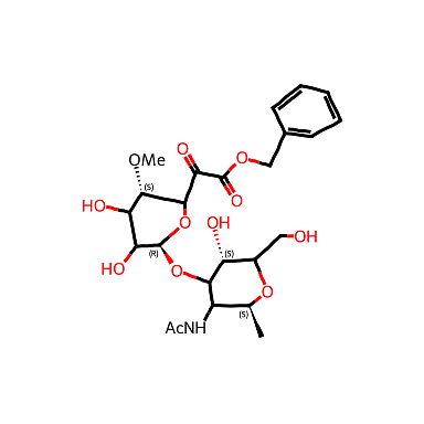 CO[C@@H]1C(C(=O)C(=O)OCc2ccccc2)O[C@@H](OC2C(NC(C)=O)[C@H](C)OC(CO)[C@H]2O)C(O)C1O